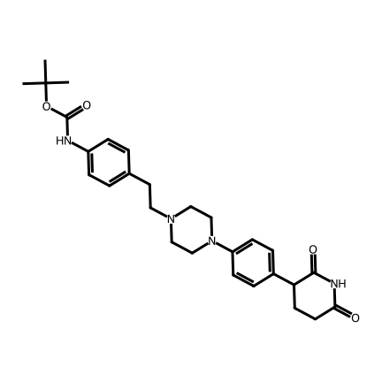 CC(C)(C)OC(=O)Nc1ccc(CCN2CCN(c3ccc(C4CCC(=O)NC4=O)cc3)CC2)cc1